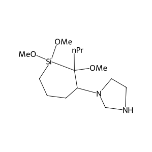 CCCC1(OC)C(N2CCNC2)CCC[Si]1(OC)OC